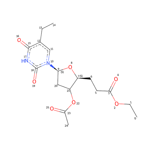 CCOC(=O)CC[C@@H]1O[C@H](n2cc(CC)c(=O)[nH]c2=O)CC1OC(C)=O